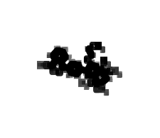 CCCOc1cc2c(cc1-c1ccc(C(=O)c3ccccc3C(=O)O)cc1)C(C)(C)CCC2(C)C